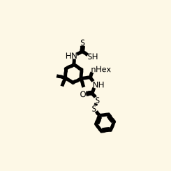 CCCCCCC(NC(=O)SSc1ccccc1)C1(C)CC(NC(=S)S)CC(C)(C)C1